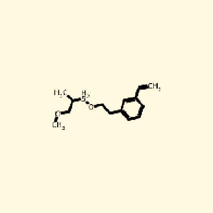 C=Cc1cccc(CCO[SiH2]C(C)COC)c1